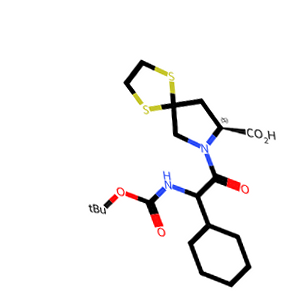 CC(C)(C)OC(=O)NC(C(=O)N1CC2(C[C@H]1C(=O)O)SCCS2)C1CCCCC1